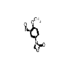 COc1ccc(N2COC2=O)cc1N=O